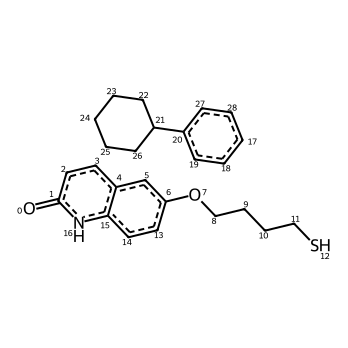 O=c1ccc2cc(OCCCCS)ccc2[nH]1.c1ccc(C2CCCCC2)cc1